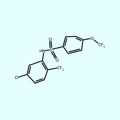 O=S(=O)(Nc1cc(Cl)ccc1C(F)(F)F)c1ccc(OC(F)(F)F)cc1